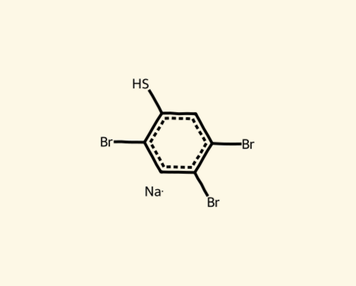 Sc1cc(Br)c(Br)cc1Br.[Na]